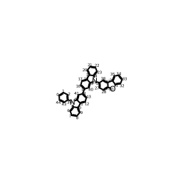 c1ccc(-n2c3ccccc3c3ccc(-c4ccc5c6ccccc6n(-c6ccc7oc8ccccc8c7c6)c5c4)cc32)cc1